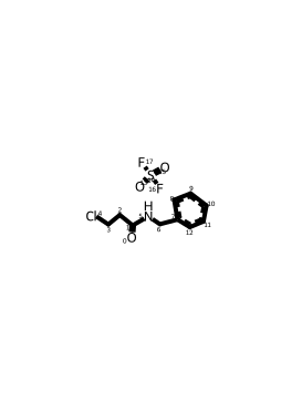 O=C(CCCl)NCc1ccccc1.O=S(=O)(F)F